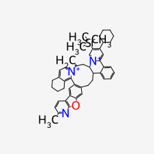 C=C1CC2C(CCc3cc4oc5nc(C)ccc5c4cc3-c3c4c(cc[n+]31)CCCC4)c1ccccc1-c1cc(C3CCCCC3)c([Si](C)(C)C)c[n+]12